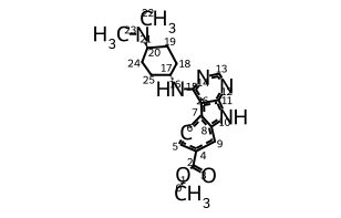 COC(=O)c1ccc2c(c1)[nH]c1ncnc(N[C@H]3CC[C@H](N(C)C)CC3)c12